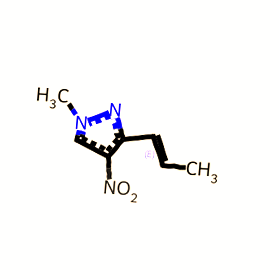 C/C=C/c1nn(C)cc1[N+](=O)[O-]